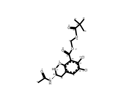 CC(=O)N[C@@H]1BOc2c(cc(Cl)c(Cl)c2C(=O)OCOC(=O)C(C)(C)C)C1